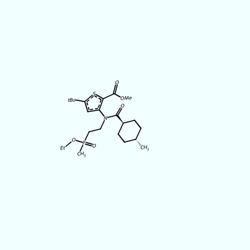 CCOP(C)(=O)CCN(c1cc(C(C)(C)C)sc1C(=O)OC)C(=O)[C@H]1CC[C@H](C)CC1